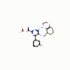 N=C(OC(N)=O)c1nc2c(c(-c3cccc(Cl)c3)n1)NCC1CCCC3=C1N(CCO3)N2